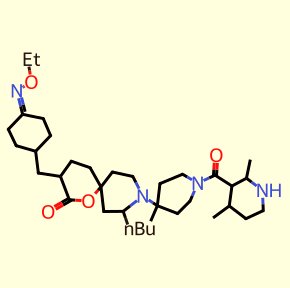 CCCCC1CC2(CCC(CC3CCC(=NOCC)CC3)C(=O)O2)CCN1C1(C)CCN(C(=O)C2C(C)CCNC2C)CC1